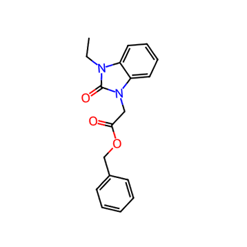 CCn1c(=O)n(CC(=O)OCc2ccccc2)c2ccccc21